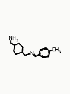 Cc1ccc(/C=N/CC2CCC(CN)CC2)cc1